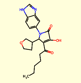 CCCCCC(=O)C1=C(O)C(=O)N(c2ccc3[nH]cnc3c2)C1C1CCOC1